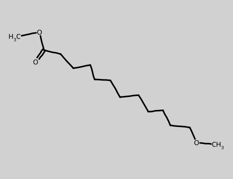 COCCCCCCCCCCCC(=O)OC